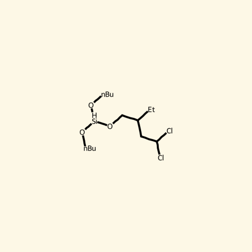 CCCCO[SiH](OCCCC)OCC(CC)CC(Cl)Cl